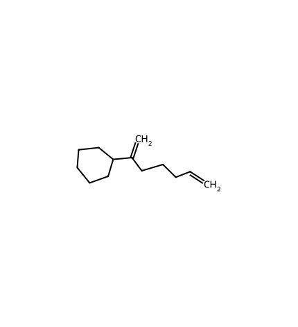 C=CCCCC(=C)C1CCCCC1